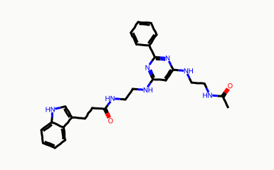 CC(=O)NCCNc1cc(NCCNC(=O)CCc2c[nH]c3ccccc23)nc(-c2ccccc2)n1